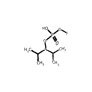 CC(C)N(OP(=O)(O)OF)C(C)C